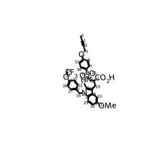 CC#CCOc1ccc(S(=O)(=O)NC(Cc2c(C)n(Cc3ccc(OC(F)(F)F)cc3)c3ccc(OC)cc23)C(=O)O)cc1